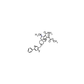 C/N=C\CC1(n2cc(C(N)=O)c(NC(=O)OC)n2)CCN(Cc2cnc(-c3ccccc3)cc2F)CC1F